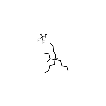 CCCC[P+](CCCC)(CCCC)C(C)CC.F[B-](F)(F)F